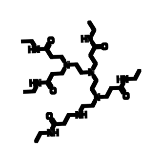 CCNC(=O)CCNCCN(CCC(=O)NCC)CCN(CCC(=O)NCC)CCN(CCC(=O)NCC)CCC(=O)NCC